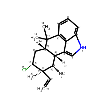 [C-]#[N+][C@@H]1[C@H]2c3c[nH]c4cccc(c34)C(C)(C)[C@H]2C[C@@H](Cl)[C@]1(C)C=C